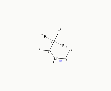 C/C=N\C(C)C(F)(F)F